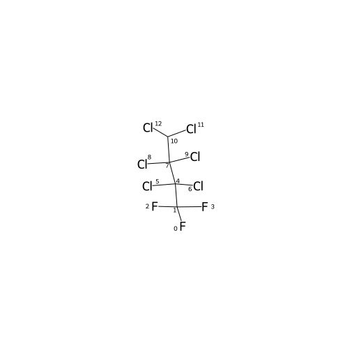 FC(F)(F)C(Cl)(Cl)C(Cl)(Cl)C(Cl)Cl